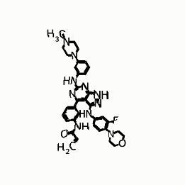 C=CC(=O)Nc1cccc(-c2nc(Nc3cccc(N4CCN(C)CC4)c3)nc3[nH]nc(Nc4ccc(N5CCOCC5)c(F)c4)c23)c1